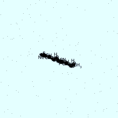 CC(C)(c1ccc(OCc2ccnc(NS(=O)(=O)CC3CCCN(c4c(F)cc(C(C)(C)c5ccc(OCc6ccnc(NS(C)(=O)=O)n6)cc5)cc4C#N)C3)n2)cc1)c1cc(F)c(N2CCC2)c(C#N)c1